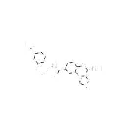 CN(C(=O)c1cc2c(cc1F)nc(N)c1cncn12)C1CCCc2cc(C(F)(F)F)ccc21